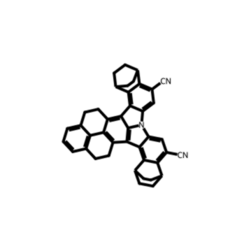 N#Cc1cc2c(c3c1C1CCC3CC1)c1c3c4c(c5c6c7c(c(C#N)cc6n2c15)C1CCC7CC1)CCc1cccc(c1-4)CC3